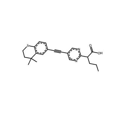 CCCC(C(=O)O)c1ncc(C#Cc2ccc3c(c2)C(C)(C)CCS3)cn1